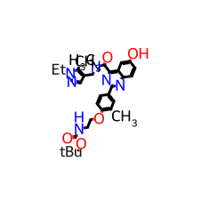 CCn1ncc(CN(C)C(=O)c2nc(-c3ccc(OCCNC(=O)OC(C)(C)C)c(C)c3)nc3ccc(O)cc23)c1C